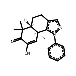 CC1(C)C(=O)C(C#N)=C[C@]2(C)c3c(cnn3-c3ccccc3)CC[C@@H]12